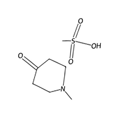 CN1CCC(=O)CC1.CS(=O)(=O)O